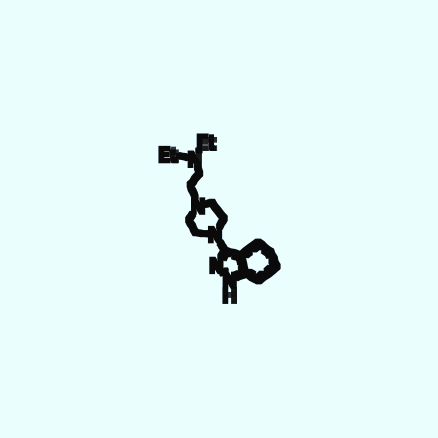 CCN(CC)CCN1CCN(c2n[nH]c3ccccc23)CC1